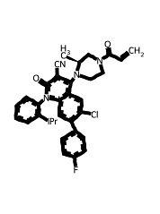 C=CC(=O)N1CCN(c2c(C#N)c(=O)n(-c3ccccc3C(C)C)c3cc(-c4ccc(F)cc4)c(Cl)cc23)[C@@H](C)C1